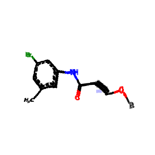 CCO/C=C/C(=O)Nc1cc(C)cc(Br)c1